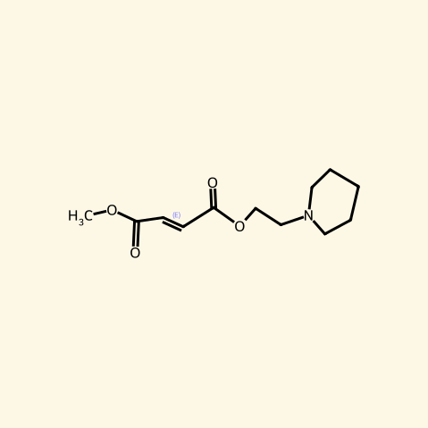 COC(=O)/C=C/C(=O)OCCN1CCCCC1